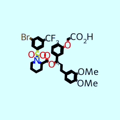 COc1ccc(CC[C@@H](OC(=O)C2CCCCN2S(=O)(=O)c2cc(Br)cc(C(F)(F)F)c2)c2cccc(OCC(=O)O)c2)cc1OC